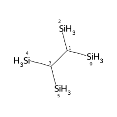 [SiH3]C([SiH3])C([SiH3])[SiH3]